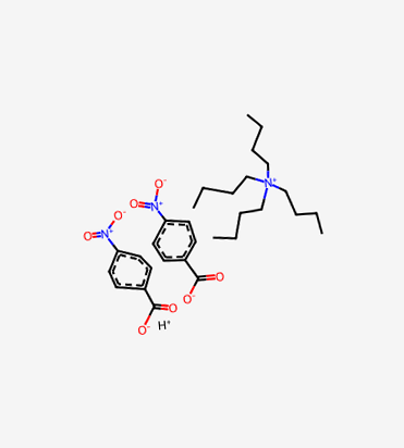 CCCC[N+](CCCC)(CCCC)CCCC.O=C([O-])c1ccc([N+](=O)[O-])cc1.O=C([O-])c1ccc([N+](=O)[O-])cc1.[H+]